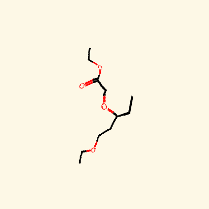 CCOCCC(CC)OCC(=O)OCC